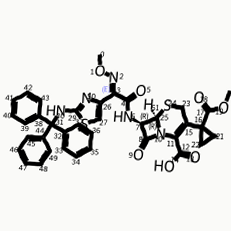 CO/N=C(/C(=O)N[C@@H]1C(=O)N2C(C(=O)O)=C(C3(C(=O)OC)CC3)CS[C@H]12)c1csc(NC(c2ccccc2)(c2ccccc2)c2ccccc2)n1